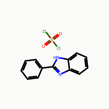 O=S(=O)(Cl)Cl.c1ccc(-c2nc3ccccc3[nH]2)cc1